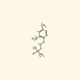 Cc1ccc(COCC(F)(P)Cl)c(N)c1